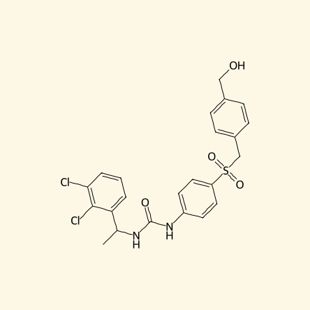 CC(NC(=O)Nc1ccc(S(=O)(=O)Cc2ccc(CO)cc2)cc1)c1cccc(Cl)c1Cl